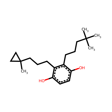 CC(C)(C)CCCc1c(O)ccc(O)c1CCCC1(C)CC1